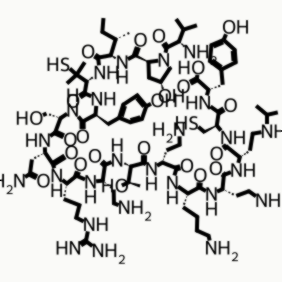 CC[C@H](C)[C@H](NC(=O)[C@@H]1C[C@@H](O)CN1C(=O)[C@@H](N)C(C)C)C(=O)N[C@H](C(=O)N[C@@H](Cc1ccc(O)cc1)C(=O)N[C@@H](CO)C(=O)N[C@@H](CC(N)=O)C(=O)N[C@@H](CCCNC(=N)N)C(=O)N[C@@H](CCN)C(=O)N[C@H](C(=O)N[C@H](CCN)C(=O)N[C@@H](CCCCN)C(=O)N[C@@H](CCN)C(=O)N[C@@H](CCNC(C)C)C(=O)N[C@@H](CS)C(=O)N[C@@H](Cc1ccc(O)cc1)C(=O)O)[C@@H](C)O)C(C)(C)S